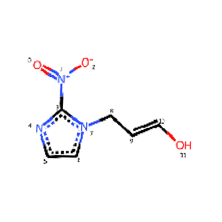 O=[N+]([O-])c1nccn1CC=CO